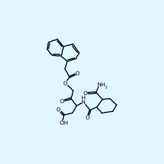 NC(=O)C1CCCCC1C(=O)NC(CC(=O)O)C(=O)COC(=O)Cc1cccc2ccccc12